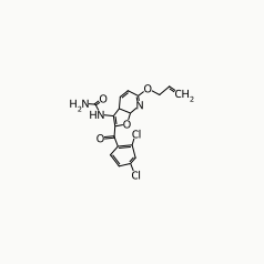 C=CCOC1=NC2OC(C(=O)c3ccc(Cl)cc3Cl)=C(NC(N)=O)C2C=C1